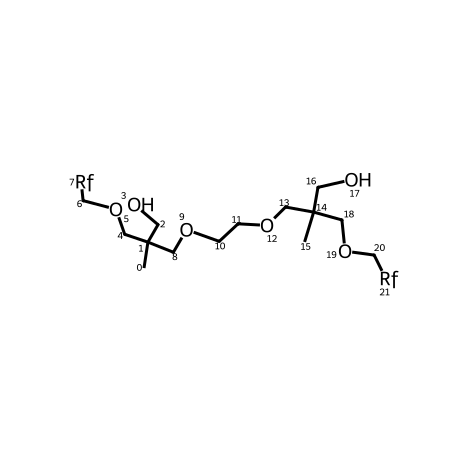 CC(CO)(CO[CH2][Rf])COCCOCC(C)(CO)CO[CH2][Rf]